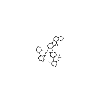 CC1=Cc2c(ccc3c2oc2c4c(ccc23)C2(C3c5ccccc5-c5cccc[n+]5C32)[n+]2cc(-c3c(C)cccc3C)c(C(C)(C)C)cc2-4)C1